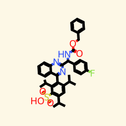 CC(C)c1cc(C(C)C)c(S(=O)(=O)O)c(C(C)C)c1-c1nc(C(NC(=O)OCc2ccccc2)c2ccc(F)cc2)nc2ccccc12